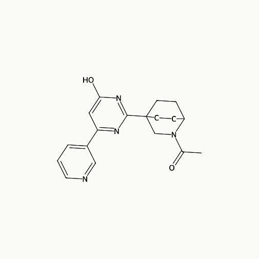 CC(=O)N1CC2(c3nc(O)cc(-c4cccnc4)n3)CCC1CC2